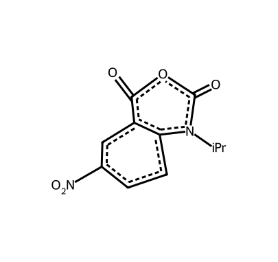 CC(C)n1c(=O)oc(=O)c2cc([N+](=O)[O-])ccc21